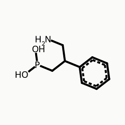 NCC(CP(O)O)c1ccccc1